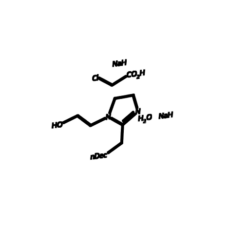 CCCCCCCCCCCC1=NCCN1CCO.O.O=C(O)CCl.[NaH].[NaH]